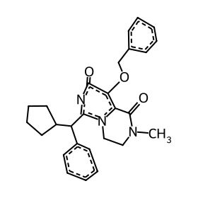 CN1CCn2c(C(c3ccccc3)C3CCCC3)nc(=O)c(OCc3ccccc3)c2C1=O